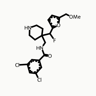 COCc1ccc(C(F)C2(CNC(=O)c3cc(Cl)cc(Cl)c3)CCNCC2)o1